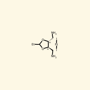 CCC1O[C@H](CN)[C@@H](CN)O1.[I][Pt][I]